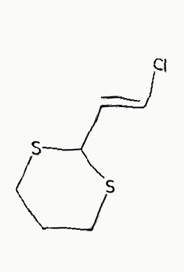 ClC=CC1SCCCS1